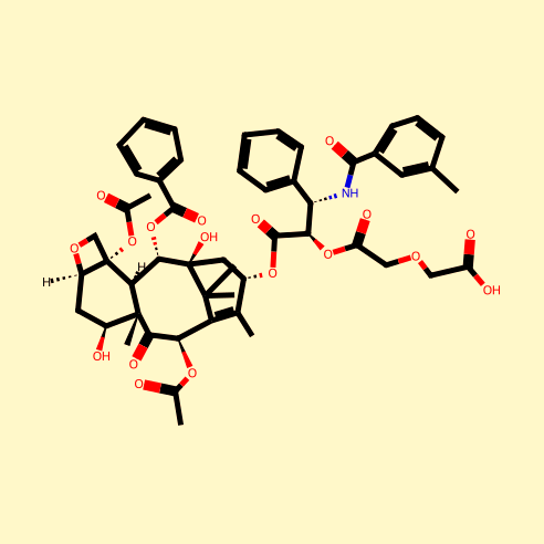 CC(=O)O[C@H]1C(=O)[C@@]2(C)[C@H]([C@H](OC(=O)c3ccccc3)[C@]3(O)C[C@H](OC(=O)[C@H](OC(=O)COCC(=O)O)[C@@H](NC(=O)c4cccc(C)c4)c4ccccc4)C(C)=C1C3(C)C)[C@]1(OC(C)=O)CO[C@@H]1C[C@@H]2O